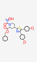 COc1ccc(-c2nc(C3CCN(C(=O)N(C)O)C(C(=O)OCc4ccccc4)C3)sc2-c2ccc(OC)cc2)cc1